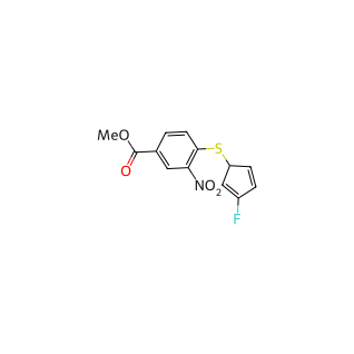 COC(=O)c1ccc(SC2C=CC(F)=C2)c([N+](=O)[O-])c1